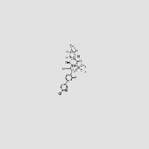 C[C@H]1[C@H]2[C@H]3C[C@@H]([C@@H]12)N(C(=O)OC(C)(C)C)[C@@H]3C(=O)N[C@H](C#N)Cc1ccc(-c2ccc(Cl)nc2)cc1F